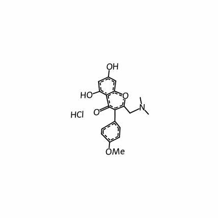 COc1ccc(-c2c(CN(C)C)oc3cc(O)cc(O)c3c2=O)cc1.Cl